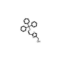 OCc1csc(/C=C\SC(c2ccccc2)(c2ccccc2)c2ccccc2)n1